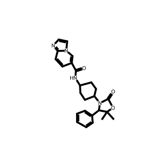 CC1(C)OC(=O)N(C2CCC(NC(=O)c3ccc4nccn4c3)CC2)C1c1ccccc1